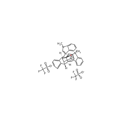 Cn1c[n+]([C@H]2[C@H]3c4ccccc4[C@@H](c4ccccc43)[C@@H]2[n+]2cn(C)c3ccccc32)c2ccccc21.O=S(=O)([O-])C(F)(F)F.O=S(=O)([O-])C(F)(F)F